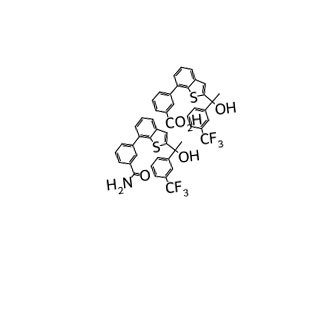 CC(O)(c1cccc(C(F)(F)F)c1)c1cc2cccc(-c3cccc(C(=O)O)c3)c2s1.CC(O)(c1cccc(C(F)(F)F)c1)c1cc2cccc(-c3cccc(C(N)=O)c3)c2s1